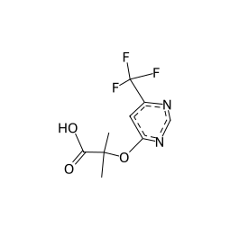 CC(C)(Oc1cc(C(F)(F)F)ncn1)C(=O)O